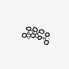 c1ccc(N(c2ccccc2)c2ccc3c(c2)C(c2ccccc2)(c2ccccc2)c2c-3cc3c4c2Oc2ccccc2B4c2ccccc2O3)cc1